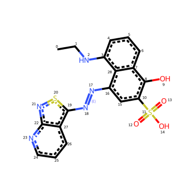 CCNc1cccc2c(O)c(S(=O)(=O)O)cc(/N=N/c3snc4ncccc34)c12